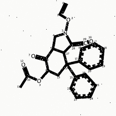 C=CON1CC2C(=O)C(OC(C)=O)CC(c3ccccc3)(c3ccccc3)C2C1=C=O